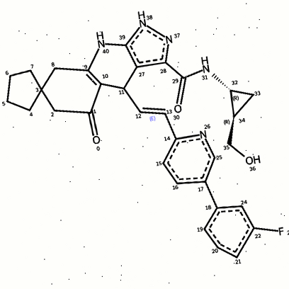 O=C1CC2(CCCC2)CC2=C1C(/C=C/c1ccc(-c3cccc(F)c3)cn1)c1c(C(=O)N[C@@H]3C[C@H]3CO)n[nH]c1N2